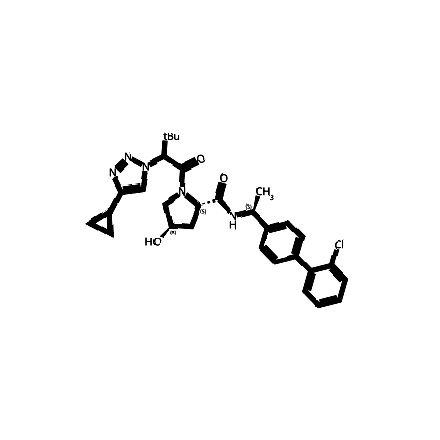 C[C@H](NC(=O)[C@@H]1C[C@@H](O)CN1C(=O)C(n1cc(C2CC2)nn1)C(C)(C)C)c1ccc(-c2ccccc2Cl)cc1